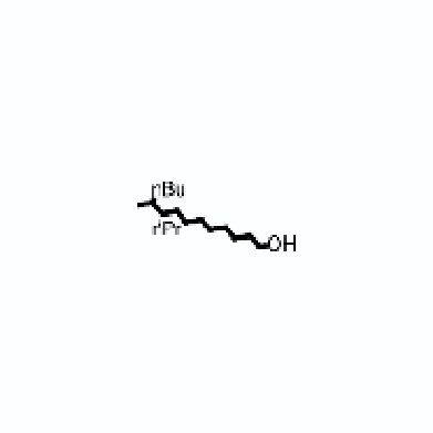 CCCCC(C)[C@@H](CCC)CCCCCCCCO